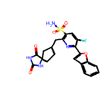 NS(=O)(=O)c1cc(F)c(-c2cc3ccccc3o2)nc1CC1CCC2(C1)NC(=O)NC2=O